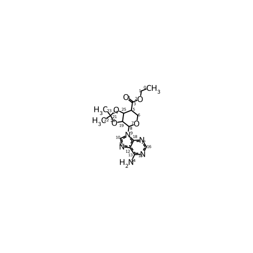 CCOC(=O)C1COC(n2cnc3c(N)ncnc32)C2OC(C)(C)OC12